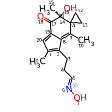 CC1=C(CC/C=N/O)C2=C(C)C3(CC3)[C@@](C)(O)C(=O)C2=C1